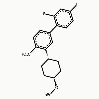 CCCO[C@H]1CC[C@H](c2cc(-c3ccc(F)cc3F)ccc2C(=O)O)CC1